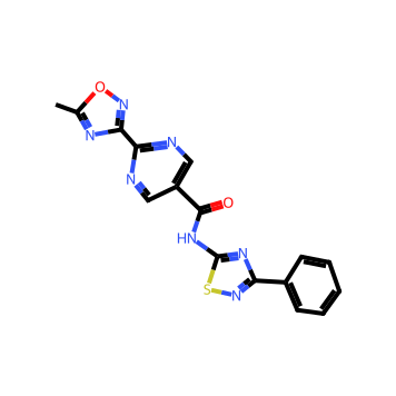 Cc1nc(-c2ncc(C(=O)Nc3nc(-c4ccccc4)ns3)cn2)no1